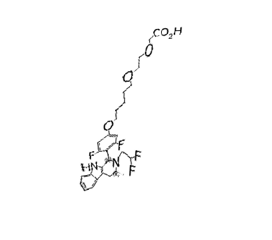 C[C@@H]1Cc2c([nH]c3ccccc23)[C@@H](c2c(F)cc(OCCCCCOCCOCC(=O)O)cc2F)N1CC(F)F